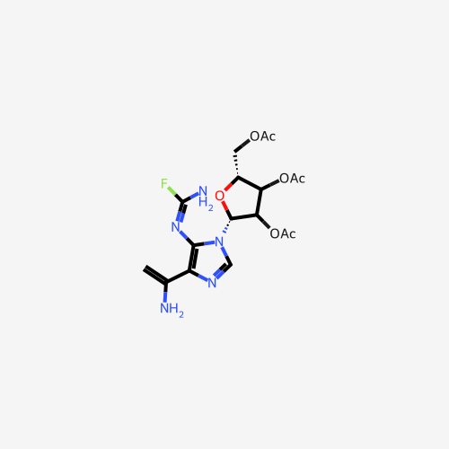 C=C(N)c1ncn([C@@H]2O[C@H](COC(C)=O)C(OC(C)=O)C2OC(C)=O)c1/N=C(\N)F